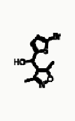 Cc1noc(C)c1C(O)c1ccc(Br)s1